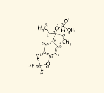 CCC(CC)(O[PH](=O)O)c1ccc(OC(F)(F)F)cc1